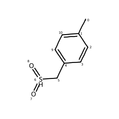 [CH2]c1ccc(C[SH](=O)=O)cc1